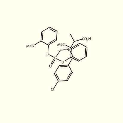 COc1ccccc1OP(=O)(CN(Sc1ccc(Cl)cc1)C(C)C(=O)O)Oc1ccccc1OC